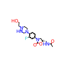 CC(=O)NC[C@H]1CN(c2ccc(N3CCN(CCO)NC3)c(F)c2)C(=O)O1